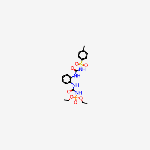 CCOP(=O)(NC(=O)Nc1ccccc1NC(=O)NS(=O)(=O)c1ccc(C)cc1)OCC